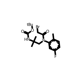 Cc1ccc(F)cc1N(CC(C)(C)NC(=O)OC(C)(C)C)C(=O)CBr